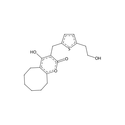 O=c1oc2c(c(O)c1Cc1ccc(CCO)s1)CCCCCC2